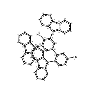 N#Cc1ccc(-n2c3ccccc3c3ccccc32)c(-c2cc(-n3c4ccccc4c4ccccc43)c(C#N)c(-n3c4ccccc4c4ccccc43)c2)c1